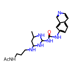 CC(=O)NCCCNC1CC(C)NC(NC(=O)Nc2ccc3ccncc3c2)N1